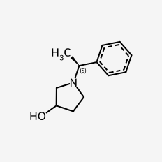 C[C@@H](c1ccccc1)N1CCC(O)C1